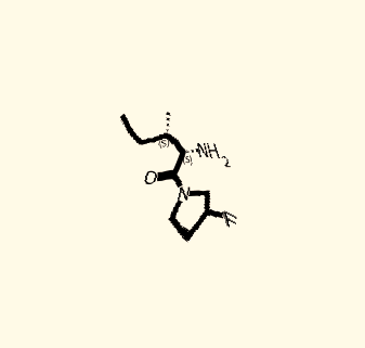 CC[C@H](C)[C@H](N)C(=O)N1CCC(F)C1